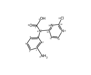 Nc1cccc(N(C(=O)O)c2ccnc(Cl)n2)c1